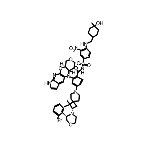 CC(C)c1ccccc1[C@@H]1COCCN1[C@H]1CC2(CCN(c3ccc(C(=O)NS(=O)(=O)c4ccc(NCC5CCC(C)(O)CC5)c([N+](=O)[O-])c4)c(N4c5cc6cc[nH]c6nc5O[C@H]5COCC[C@@H]54)c3)CC2)C1(C)C